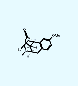 CCC1CC(=O)C[C@]23CCN(C)[C@H](Cc4ccc(OC)cc42)[C@H]13